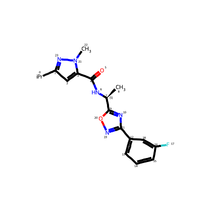 CC(C)c1cc(C(=O)N[C@@H](C)c2nc(-c3cccc(F)c3)no2)n(C)n1